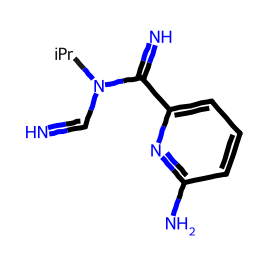 CC(C)N(C=N)C(=N)c1cccc(N)n1